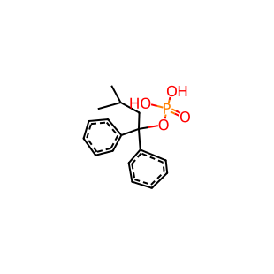 CC(C)CC(OP(=O)(O)O)(c1ccccc1)c1ccccc1